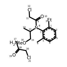 CCc1cccc(C)c1N(C(=O)CCl)C(C)COC.NC(=O)CCl